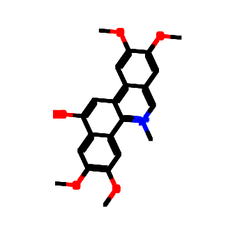 COc1cc2c[n+](C)c3c4cc(OC)c(OC)cc4c(O)cc3c2cc1OC